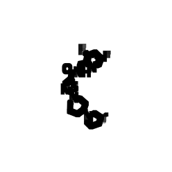 C[C@@H]1CCCN(C2CCCN(c3ncc(C(=O)NCc4ncc(F)cc4F)s3)CC2)C1